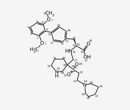 COc1cccc(OC)c1-c1ccc(C[C@H](NCC2(S(=O)(=O)CCN3CCCCC3)CCCNC2)C(=O)O)cc1